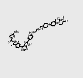 Cc1cc(-c2ncnc3[nH]c(-c4ccc(NCCNCC5CCN(c6ccc(N7CCC(=O)NC7=O)c(C)c6)CC5)nc4)nc23)ccc1[C@@H](C)NC(=O)c1noc(C(C)(C)C)n1